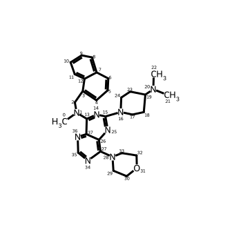 CN(Cc1cccc2ccccc12)c1nc(N2CCC(N(C)C)CC2)nc2c(N3CCOCC3)ncnc12